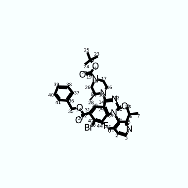 Cc1ccnc(C(C)C)c1-n1c(=O)nc(N2CCN(C(=O)OC(C)(C)C)C[C@@H]2C)c2cc(C(=O)OCc3ccccc3)c(Br)c(F)c21